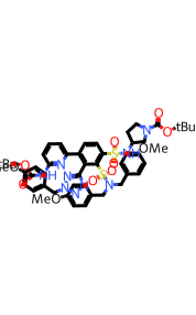 COc1ccc(CN(Cc2ccc(OC)cc2)S(=O)(=O)c2c(S(=O)(=O)NC3CCN(C(=O)OC(C)(C)C)C3)ccc(-c3cccc(NC(=O)OC(C)(C)C)n3)c2-c2nnn(Cc3ccc(OC)cc3)n2)cc1